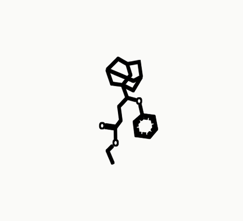 CCOC(=O)CCC(Oc1ccccc1)C12CC3CC(CC(C3)C1)C2